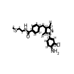 CSCCNC(=O)c1ccc(Cc2c(C)nn(-c3ccc(N)c(Cl)c3)c2C)cc1